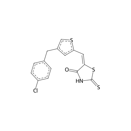 O=C1NC(=S)SC1=Cc1cc(Cc2ccc(Cl)cc2)cs1